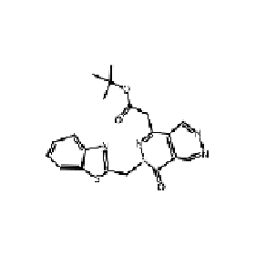 CC(C)(C)OC(=O)Cc1nn(Cc2nc3ccccc3s2)c(=O)c2cnncc12